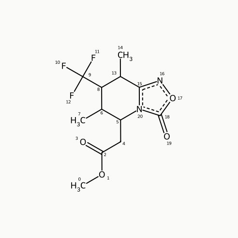 COC(=O)CC1C(C)C(C(F)(F)F)C(C)c2noc(=O)n21